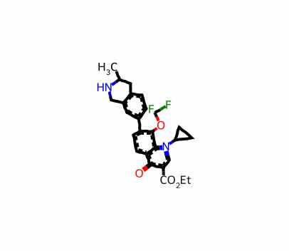 CCOC(=O)c1cn(C2CC2)c2c(OC(F)F)c(-c3ccc4c(c3)CNC(C)C4)ccc2c1=O